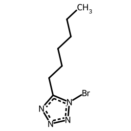 CCCCCCc1nnnn1Br